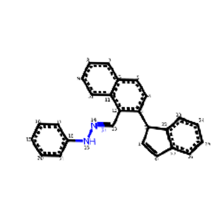 C1=CC(c2ccc3ccccc3c2/C=N/Nc2ccccc2)c2ccccc21